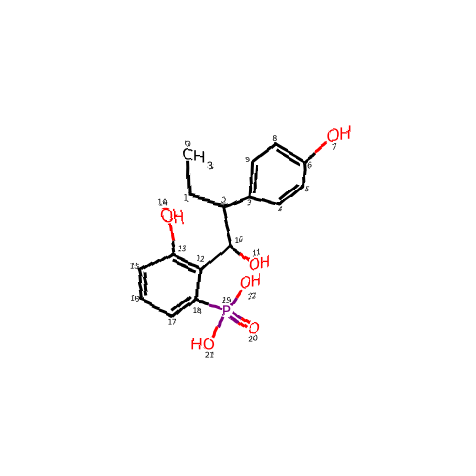 CCC(c1ccc(O)cc1)C(O)c1c(O)cccc1P(=O)(O)O